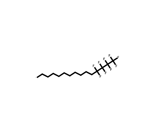 [CH2]CCCCCCCCCCC(F)(F)C(F)(F)C(F)(F)C(F)(F)F